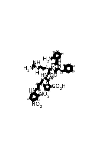 N=C(N)NCCC[C@H](NC(=O)[C@H](Cc1ccccc1)NC(=O)c1ccccc1N)C(=O)N[C@@H](CCCCNc1ccc([N+](=O)[O-])cc1[N+](=O)[O-])C(=O)N1CCC[C@H]1C(=O)O